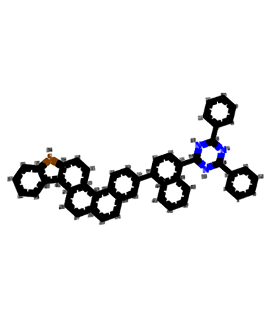 c1ccc(-c2nc(-c3ccccc3)nc(-c3ccc(-c4ccc5c(ccc6ccc7c(ccc8sc9ccccc9c87)c65)c4)c4ccccc34)n2)cc1